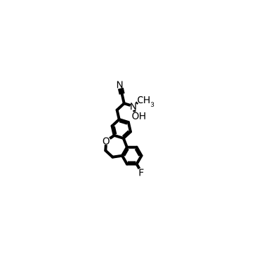 CN(O)C(C#N)Cc1ccc2c(c1)OCCc1cc(F)ccc1-2